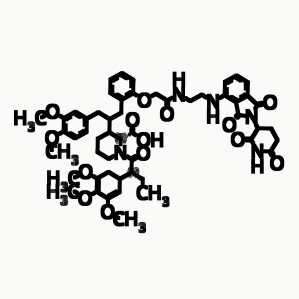 CC[C@H](C(=O)N1CCCC(C(Cc2ccc(OC)c(OC)c2)Cc2ccccc2OCC(=O)NCCNc2cccc3c2C(=O)N(C2CCC(=O)NC2=O)C3=O)[C@@H]1C(=O)O)C1C=C(OC)C(OC)=C(OC)C1